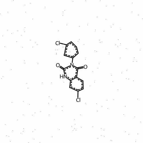 O=c1[nH]c2cc(Cl)ccc2c(=O)n1-c1cccc(Cl)c1